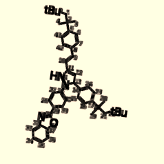 CC(C)(C)CC(C)(C)c1ccc(C=CC2=CC(c3ccc(C(C)(C)CC(C)(C)C)cc3)N(c3ccc(-c4nc5ccccc5o4)cc3)N2)cc1